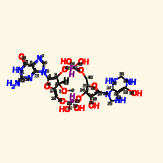 CO[C@H]1C2=C(n3cnc4c(=O)[nH]c(N)nc43)O/C1=C/O[PH](O)(O)Oc1c(oc(N3CNC4=C(O)NCNC43)c1O)CO[PH](O)(O)O2